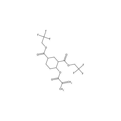 C=C(C)C(=O)OC1CCC(C(=O)OCC(F)(F)F)CC1C(=O)OCC(F)(F)F